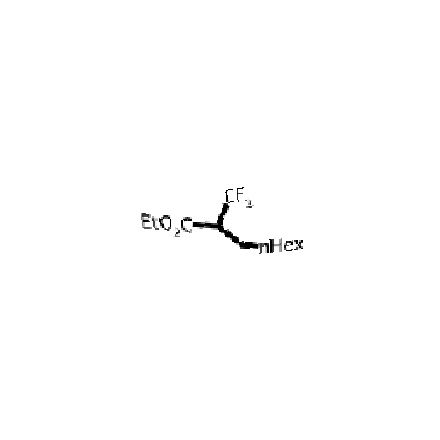 CCCCCCCC(C(=O)OCC)C(F)(F)F